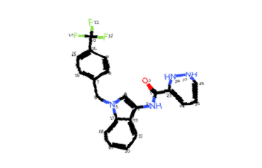 O=C(Nc1cn(Cc2ccc(C(F)(F)F)cc2)c2ccccc12)C1=CC=CNN1